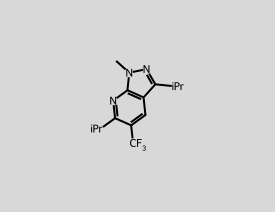 CC(C)c1nc2c(cc1C(F)(F)F)c(C(C)C)nn2C